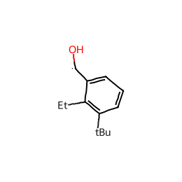 CCc1c([CH]O)cccc1C(C)(C)C